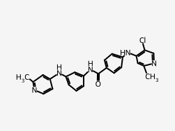 Cc1cc(Nc2cccc(NC(=O)c3ccc(Nc4cc(C)ncc4Cl)cc3)c2)ccn1